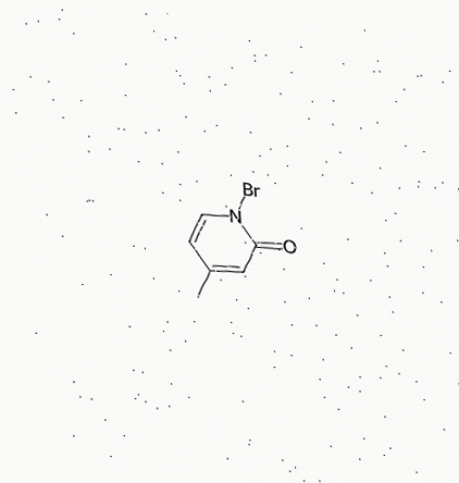 Cc1ccn(Br)c(=O)c1